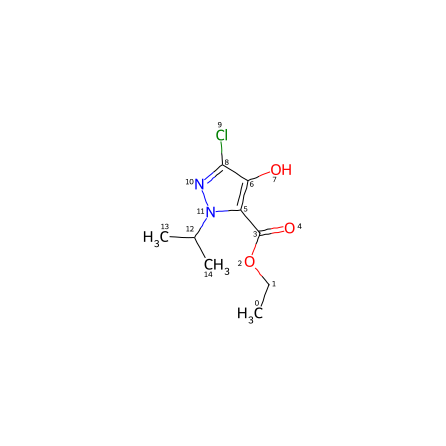 CCOC(=O)c1c(O)c(Cl)nn1C(C)C